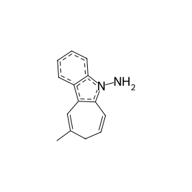 CC1=Cc2c(n(N)c3ccccc23)C=CC1